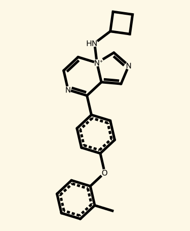 Cc1ccccc1Oc1ccc(C2=NC=C[N+]3(NC4CCC4)C=NC=C23)cc1